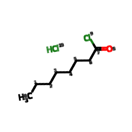 CCCCCCCC(=O)Cl.Cl